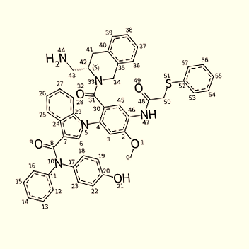 COc1cc(-n2cc(C(=O)N(c3ccccc3)c3ccc(O)cc3)c3ccccc32)c(C(=O)N2Cc3ccccc3C[C@H]2CN)cc1NC(=O)CSc1ccccc1